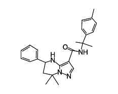 Cc1ccc(C(C)(C)NC(=O)c2cnn3c2NC(c2ccccc2)CC3(C)C)cc1